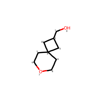 OCC1CC2(CCOCC2)C1